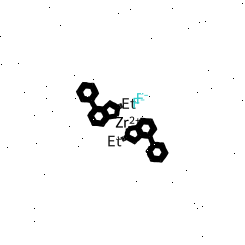 CCC1=Cc2c(-c3ccccc3)cccc2[CH]1[Zr+2][CH]1C(CC)=Cc2c(-c3ccccc3)cccc21.[F-].[F-]